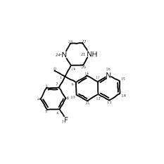 CC(c1cccc(F)c1)(c1ccc2cccnc2c1)C1CNCC[N]1